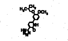 COc1ccc(-c2ccc(-c3nnn[nH]3)c(=O)[nH]2)cc1OCC(C)C